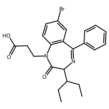 CCC(CC)C1N=C(c2ccccc2)c2cc(Br)ccc2N(CCC(=O)O)C1=O